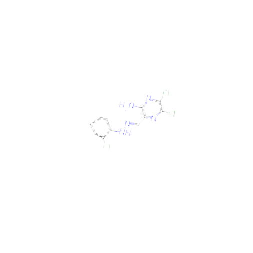 Nc1nc(Cl)c(Cl)nc1C=NNc1ccccc1Cl